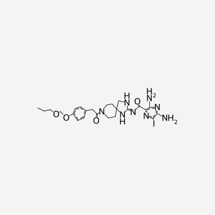 CCCOCOc1ccc(CC(=O)N2CCC3(CC2)CN/C(=N\C(=O)c2nc(I)c(N)nc2N)N3)cc1